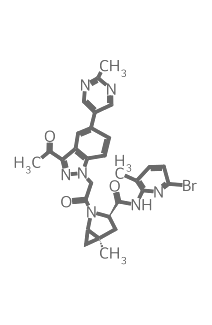 CC(=O)c1nn(CC(=O)N2C3C[C@]3(C)C[C@@H]2C(=O)Nc2nc(Br)ccc2C)c2ccc(-c3cnc(C)nc3)cc12